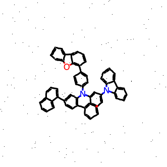 c1ccc(-c2ccc(-c3cccc4ccccc34)cc2N(c2ccc(-c3cccc4c3oc3ccccc34)cc2)c2cccc(-n3c4ccccc4c4ccccc43)c2)cc1